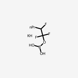 CCCC(F)C(F)(F)OB(O)O.[KH]